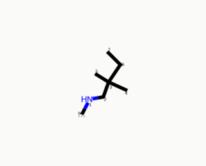 [C]NCC(C)(C)CC